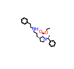 CCOC(=O)[C@H]1[C@H](CCCNCCc2ccccc2)CCN1[C@@H](C)c1ccccc1